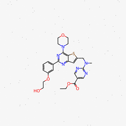 CCOC(=O)c1cnc(N(C)Cc2cc3nc(-c4cccc(OCCO)c4)nc(N4CCOCC4)c3s2)nc1